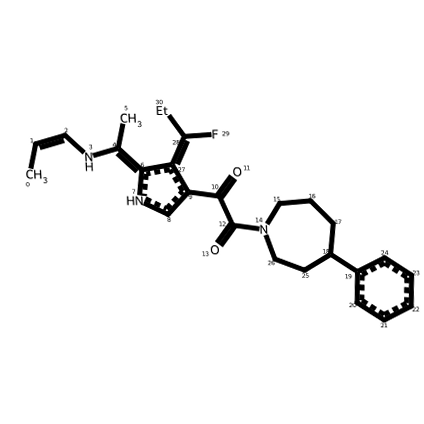 C/C=C\N/C(C)=c1\[nH]cc(C(=O)C(=O)N2CCCC(c3ccccc3)CC2)\c1=C(/F)CC